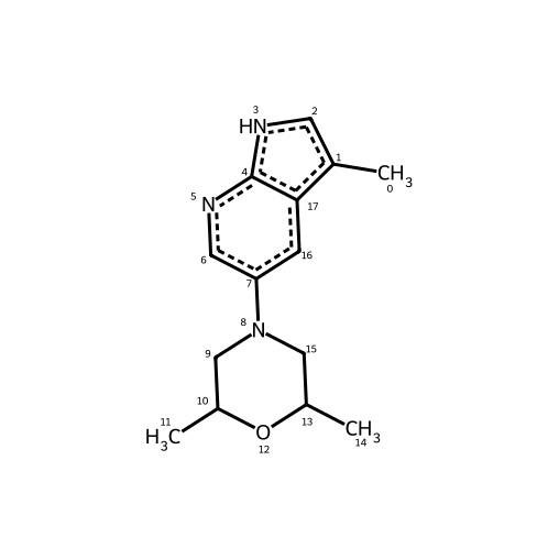 Cc1c[nH]c2ncc(N3CC(C)OC(C)C3)cc12